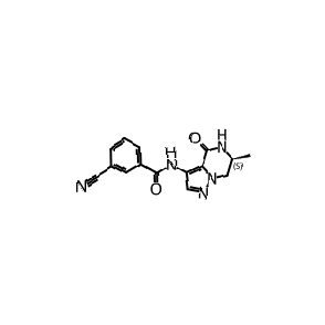 C[C@H]1Cn2ncc(NC(=O)c3cccc(C#N)c3)c2C(=O)N1